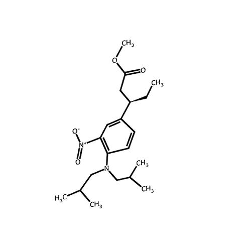 CC[C@H](CC(=O)OC)c1ccc(N(CC(C)C)CC(C)C)c([N+](=O)[O-])c1